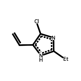 C=Cc1[nH]c(CC)nc1Cl